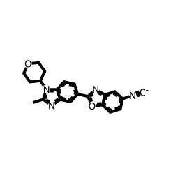 [C-]#[N+]c1ccc2oc(-c3ccc4c(c3)nc(C)n4C3CCOCC3)nc2c1